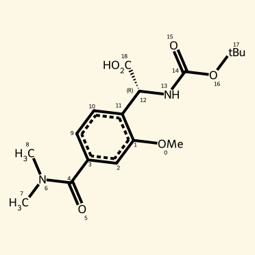 COc1cc(C(=O)N(C)C)ccc1[C@@H](NC(=O)OC(C)(C)C)C(=O)O